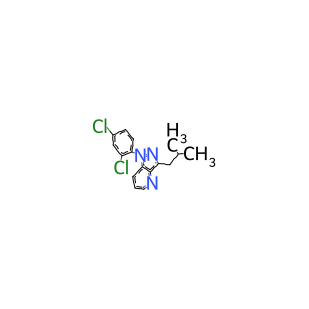 CC(C)Cc1nn(-c2ccc(Cl)cc2Cl)c2cccnc12